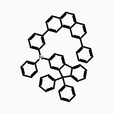 c1ccc(-c2ccc3ccc4ccc(-c5cccc(N(c6ccccc6)c6ccc7c(c6)C(c6ccccc6)(c6ccccc6)c6ccccc6-7)c5)cc4c3c2)cc1